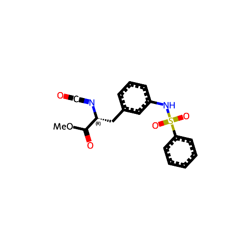 COC(=O)[C@@H](Cc1cccc(NS(=O)(=O)c2ccccc2)c1)N=C=O